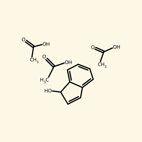 CC(=O)O.CC(=O)O.CC(=O)O.OC1C=Cc2ccccc21